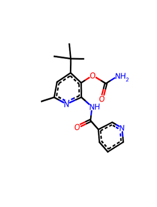 Cc1cc(C(C)(C)C)c(OC(N)=O)c(NC(=O)c2cccnc2)n1